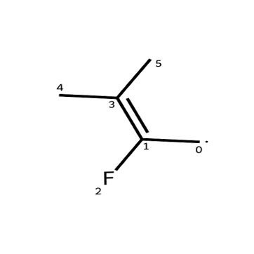 [CH2]C(F)=C(C)C